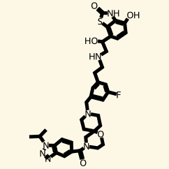 CC(C)n1nnc2cc(C(=O)N3CCOC4(CCN(Cc5cc(F)cc(CCNCC(O)c6ccc(O)c7[nH]c(=O)sc67)c5)CC4)C3)ccc21